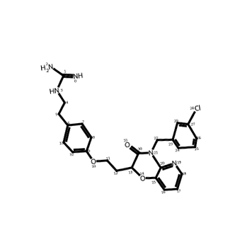 N=C(N)NCCc1ccc(OCCC2Oc3cccnc3N(Cc3cccc(Cl)c3)C2=O)cc1